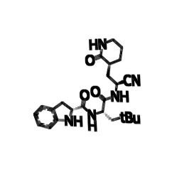 CC(C)(C)C[C@H](NC(=O)[C@H]1Cc2ccccc2N1)C(=O)N[C@H](C#N)C[C@@H]1CCCNC1=O